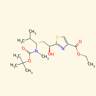 CCOC(=O)c1csc([C@@H](O)C[C@@H](C(C)C)N(C)C(=O)OC(C)(C)C)n1